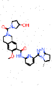 COc1cc2c(cc1C(=O)Nc1cccc(-c3nnc4n3[C@@H](C)CC4)n1)CN(C(=O)N1CC[C@@H](O)C1)CC2